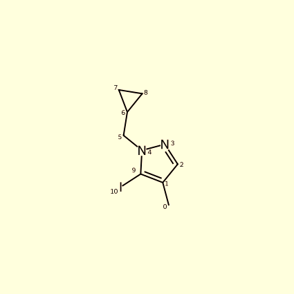 Cc1cnn(CC2CC2)c1I